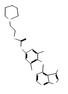 O=C(NCCN1CCCCC1)Nc1cc(F)c(Oc2ccnc3[nH]cc(C(F)(F)F)c23)c(F)c1